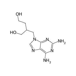 Nc1nc(N)c2ncn(CC(CO)CCO)c2n1